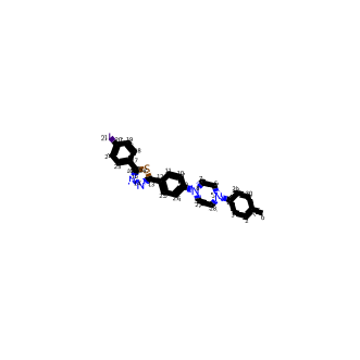 CC1CCC(N2CCN(c3ccc(-c4nnc(-c5ccc(I)cc5)s4)cc3)CC2)CC1